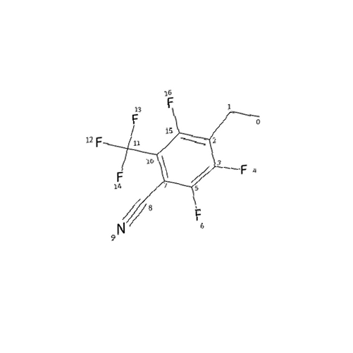 CCc1c(F)c(F)c(C#N)c(C(F)(F)F)c1F